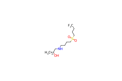 C[C@H](O)CNCCCCS(=O)(=O)CCCC(F)(F)F